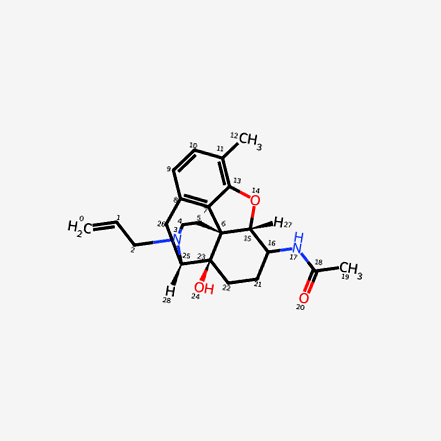 C=CCN1CC[C@@]23c4c5ccc(C)c4O[C@@H]2C(NC(C)=O)CC[C@]3(O)[C@@H]1C5